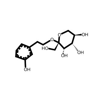 OC[C@@]1(OCCc2cccc(O)c2)OC[C@@H](O)[C@H](O)[C@@H]1O